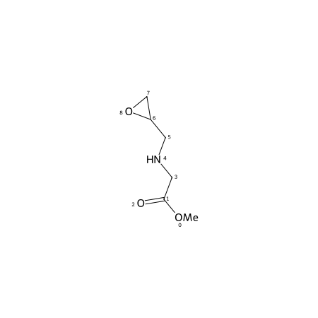 COC(=O)CNCC1CO1